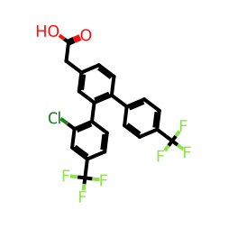 O=C(O)Cc1ccc(-c2ccc(C(F)(F)F)cc2)c(-c2ccc(C(F)(F)F)cc2Cl)c1